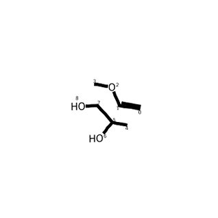 C=COC.CC(O)CO